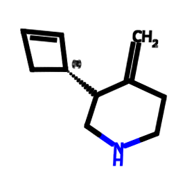 C=C1CCNCC1[C@H]1C=CC1